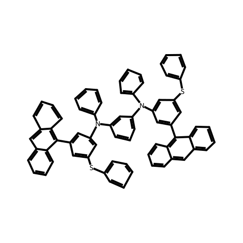 c1ccc(Sc2cc(-c3c4ccccc4cc4ccccc34)cc(N(c3ccccc3)c3cccc(N(c4ccccc4)c4cc(Sc5ccccc5)cc(-c5c6ccccc6cc6ccccc56)c4)c3)c2)cc1